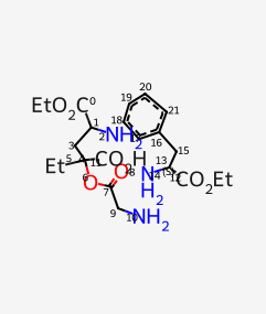 CCOC(=O)C(N)CC(CC)(OC(=O)CN)C(=O)O.CCOC(=O)[C@@H](N)Cc1ccccc1